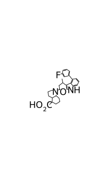 CC(CC(=O)N1CCCC2C(C(=O)O)CCCC21)c1c[nH]c2cccc(-c3cccc(F)c3)c12